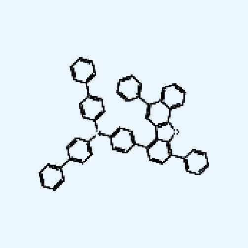 c1ccc(-c2ccc(N(c3ccc(-c4ccccc4)cc3)c3ccc(-c4ccc(-c5ccccc5)c5oc6c7ccccc7c(-c7ccccc7)cc6c45)cc3)cc2)cc1